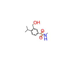 CNS(=O)(=O)c1ccc(C(C)C)c(CO)c1